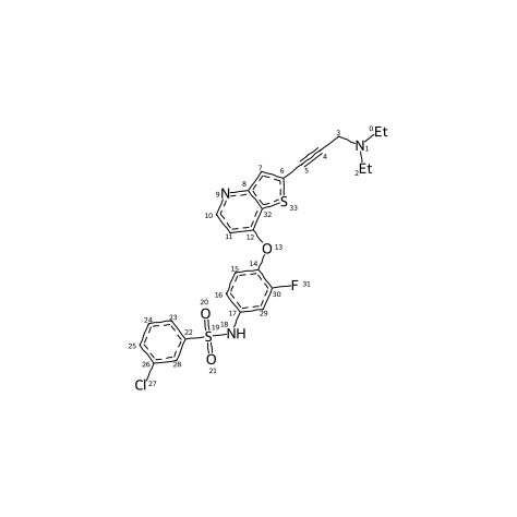 CCN(CC)CC#Cc1cc2nccc(Oc3ccc(NS(=O)(=O)c4cccc(Cl)c4)cc3F)c2s1